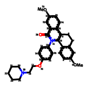 COc1ccc2c(c1)CCc1c-2n(-c2ccc(OCCN3CCCCC3)cc2)c(=O)c2cc(OC)ccc12